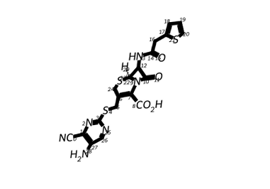 N#Cc1nc(SCC2=C(C(=O)O)N3C(=O)C(NC(=O)Cc4cccs4)[C@@H]3SC2)ncc1N